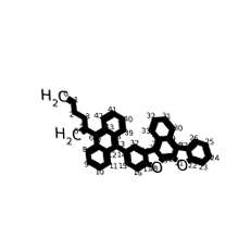 C=CCCC(=C)c1c2ccccc2c(-c2ccc3oc4c5oc6ccccc6c5c5ccccc5c4c3c2)c2ccccc12